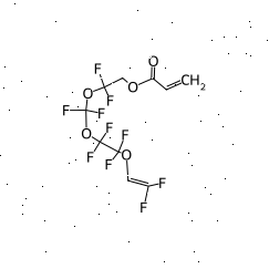 C=CC(=O)OCC(F)(F)OC(F)(F)OC(F)(F)C(F)(F)OC=C(F)F